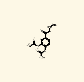 CC(C)(C)NCC(=O)c1ccc(OC(=O)C(C)(C)C)c(OC(=O)C(C)(C)C)c1